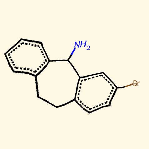 NC1c2ccccc2CCc2ccc(Br)cc21